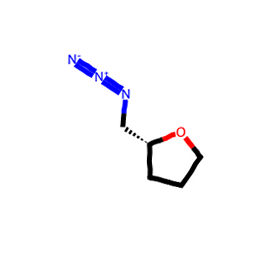 [N-]=[N+]=NC[C@H]1CCCO1